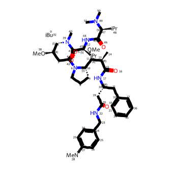 CC[C@H](C)[C@@H]([C@@H](CC(=O)N1CCC[C@H]1[C@H](OC)[C@@H](C)C(=O)N[C@@H](CC(=O)NCc1ccc(NC)cc1)Cc1ccccc1)OC)N(C)C(=O)[C@@H](NC(=O)[C@H](C(C)C)N(C)C)C(C)C